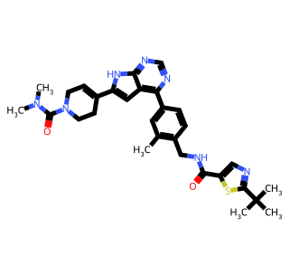 Cc1cc(-c2ncnc3[nH]c(C4=CCN(C(=O)N(C)C)CC4)cc23)ccc1CNC(=O)c1cnc(C(C)(C)C)s1